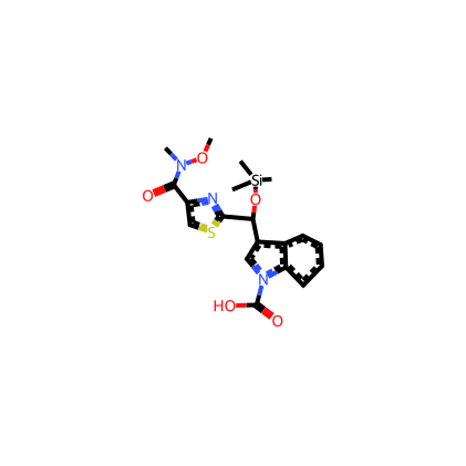 CON(C)C(=O)c1csc(C(O[Si](C)(C)C)c2cn(C(=O)O)c3ccccc23)n1